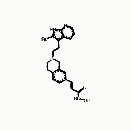 CC(C)(C)c1[nH]c2ncccc2c1CCN1CCc2ccc(C=CC(=O)NO)cc2C1